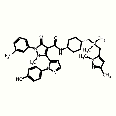 Cc1cc(C[N+](C)(C)C[C@H]2CC[C@H](NC(=O)c3c(-c4ccnn4-c4ccc(C#N)cc4)n(C)n(-c4cccc(C(F)(F)F)c4)c3=O)CC2)n(C)n1